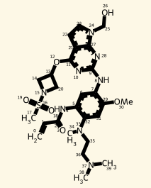 C=CC(=O)Nc1cc(Nc2nc(OC3CN(S(C)(=O)=O)C3)c3ccn(CO)c3n2)c(OC)cc1N(C)CCN(C)C